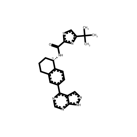 CC(C)(C)c1csc(C(=O)N[C@H]2CCCc3cc(-c4ncnc5[nH]ncc45)ccc32)n1